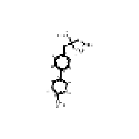 CC(C)(C)OC(Cc1ccc(-c2cnc(N)nc2)cc1)(C(=O)O)C(=O)O